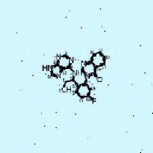 CCC(Nc1ncnc2[nH]cnc12)c1ccc(F)cc1-n1cnc2ccccc2c1=O